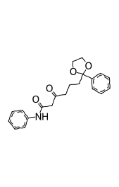 O=C(CCCC1(c2ccccc2)OCCO1)CC(=O)Nc1ccccc1